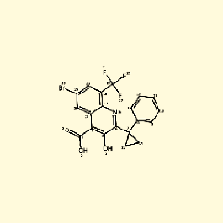 O=C(O)c1c(O)c(C2(c3ccccc3)CC2)nc2c(C(F)(F)F)cc(Br)cc12